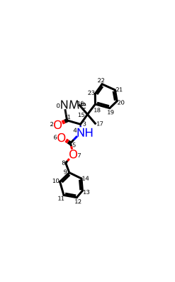 CNC(=O)[C@@H](NC(=O)OCc1ccccc1)C(C)(C)c1ccccc1